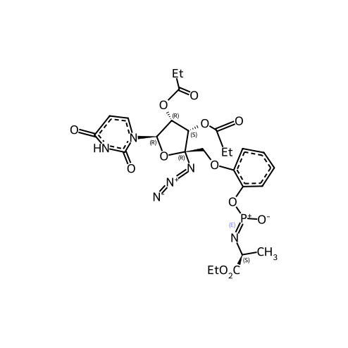 CCOC(=O)[C@H](C)/N=[P+](\[O-])Oc1ccccc1OC[C@@]1(N=[N+]=[N-])O[C@@H](n2ccc(=O)[nH]c2=O)[C@H](OC(=O)CC)[C@@H]1OC(=O)CC